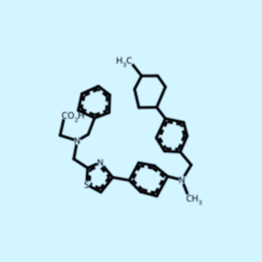 CC1CCC(c2ccc(CN(C)c3ccc(-c4csc(CN(CC(=O)O)Cc5ccccc5)n4)cc3)cc2)CC1